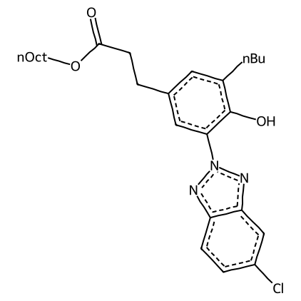 CCCCCCCCOC(=O)CCc1cc(CCCC)c(O)c(-n2nc3ccc(Cl)cc3n2)c1